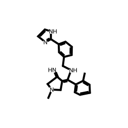 Cc1ccccc1/C(NCc1cccc(-c2ncc[nH]2)c1)=C1\CN(C)CC1=N